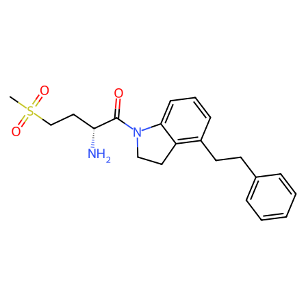 CS(=O)(=O)CC[C@@H](N)C(=O)N1CCc2c(CCc3ccccc3)cccc21